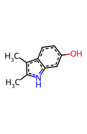 Cc1[nH]c2cc(O)ccc2c1C